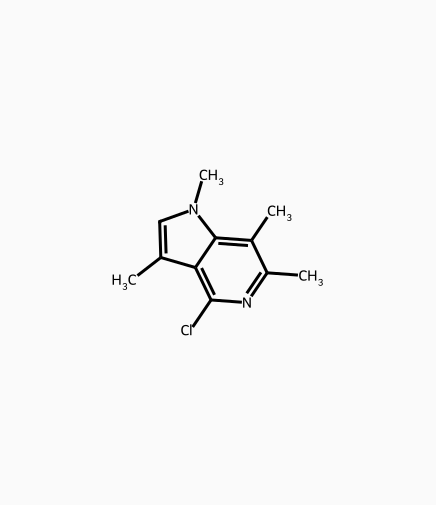 Cc1nc(Cl)c2c(C)cn(C)c2c1C